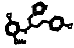 COc1ccc(Cl)cc1SC(CCc1ccc(Cl)cc1)Cn1ccnc1